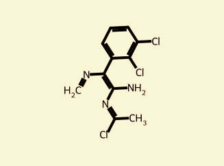 C=N/C(=C(N)\N=C(/C)Cl)c1cccc(Cl)c1Cl